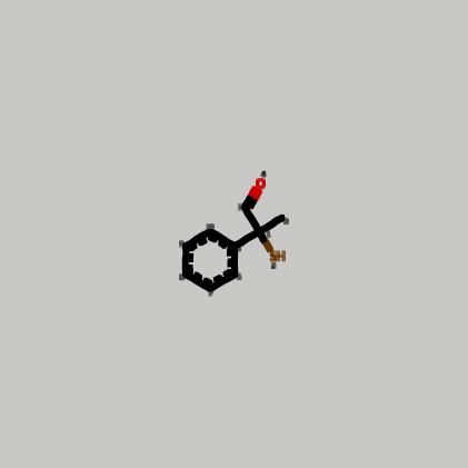 CC(S)([C]=O)c1ccccc1